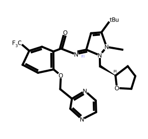 Cn1c(C(C)(C)C)c/c(=N\C(=O)c2cc(C(F)(F)F)ccc2OCc2cnccn2)n1C[C@H]1CCCO1